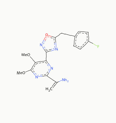 C=C(N)c1nc(OC)c(OC)c(-c2noc(Cc3ccc(F)cc3)n2)n1